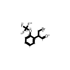 O=CC(CBr)c1ccccc1OC(F)(F)F